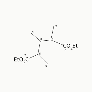 CCOC(=O)C(C)C(C)C(C)C(=O)OCC